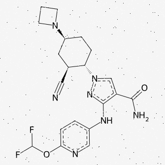 N#C[C@H]1C[C@@H](N2CCC2)CC[C@@H]1n1cc(C(N)=O)c(Nc2ccc(OC(F)F)nc2)n1